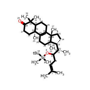 CC(C)=CCC(O[Si](C)(C)C(C)(C)C)[C@@H](C)[C@H]1CC[C@@]2(C)C3=C(CC[C@]12C)[C@@]1(C)CCC(=O)C(C)(C)C1CC3